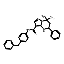 CC1(C)CC(c2ccccc2)Nc2c(C(=O)Nc3ccc(Cc4ccccc4)cc3)cnn21